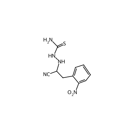 N#CC(Cc1ccccc1[N+](=O)[O-])NNC(N)=S